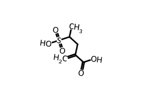 C=C(CC(C)S(=O)(=O)O)C(=O)O